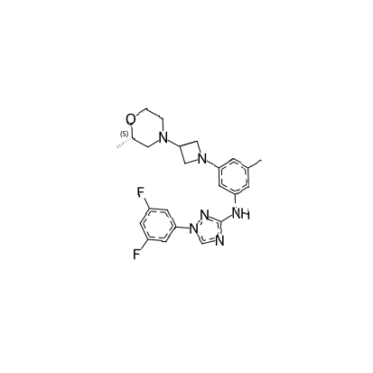 Cc1cc(Nc2ncn(-c3cc(F)cc(F)c3)n2)cc(N2CC(N3CCO[C@@H](C)C3)C2)c1